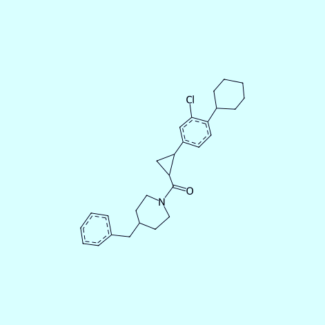 O=C(C1CC1c1ccc(C2CCCCC2)c(Cl)c1)N1CCC(Cc2ccccc2)CC1